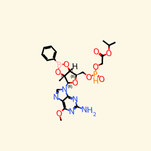 COc1nc(N)nc2c1ncn2[C@@H]1O[C@H](CO[PH](=O)OCC(=O)OC(C)C)[C@H]2OB(c3ccccc3)O[C@]21C